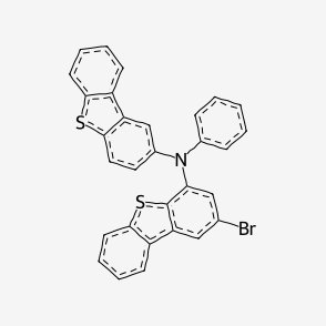 Brc1cc(N(c2ccccc2)c2ccc3sc4ccccc4c3c2)c2sc3ccccc3c2c1